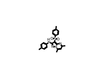 Cc1ccc(Nc2nn3c(C)cc(C)nc3c2S(=O)(=O)c2ccc(C)cc2)cc1